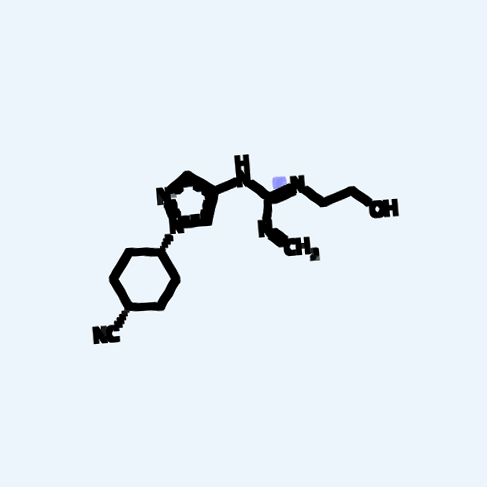 C=N/C(=N\CCO)Nc1cnn([C@H]2CC[C@@H](C#N)CC2)c1